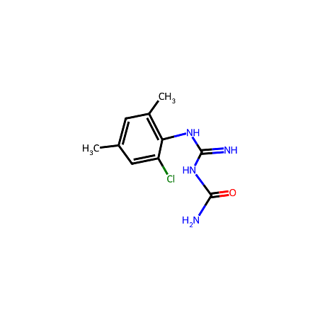 Cc1cc(C)c(NC(=N)NC(N)=O)c(Cl)c1